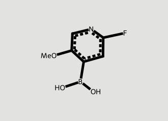 COc1cnc(F)cc1B(O)O